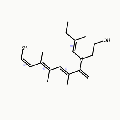 C=C(/C(C)=C/C(C)=C(C)/C=C\S)N(/C=C(\C)CC)CCO